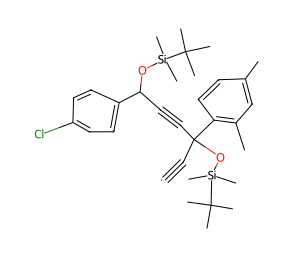 [C]#CC(C#CC(O[Si](C)(C)C(C)(C)C)c1ccc(Cl)cc1)(O[Si](C)(C)C(C)(C)C)c1ccc(C)cc1C